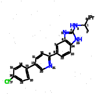 CC(C)C(C)Nc1nc2cc(-c3ccc(-c4ccc(Cl)cc4)cn3)ccc2[nH]1